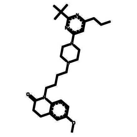 CCCc1cc(N2CCN(CCCCN3C(=O)CCc4cc(OC)ccc43)CC2)nc(C(C)(C)C)n1